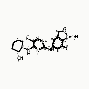 N#C[C@@H]1CCCC[C@H]1Nc1nc(Nc2cc(Cl)c3c(c2)COB3O)ncc1F